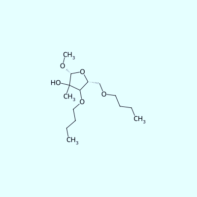 CCCCOC[C@H]1O[C@@H](OC)C(C)(O)C1OCCCC